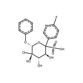 O=S(=O)(O)C1(c2ccc(F)nc2)O[C@@H](Oc2ccccc2)[C@@](O)(Cl)[C@@H](O)[C@@H]1O